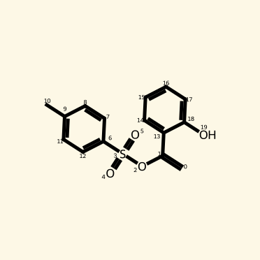 C=C(OS(=O)(=O)c1ccc(C)cc1)c1ccccc1O